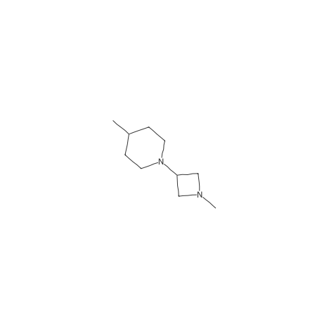 CC1CCN(C2CN(C)C2)CC1